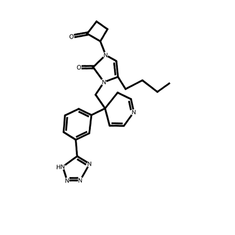 CCCCc1cn(C2CCC2=O)c(=O)n1CC1(c2cccc(-c3nnn[nH]3)c2)C=CN=CC1